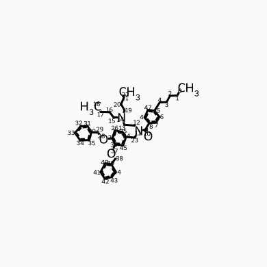 CCCCCc1ccc(C(=O)N(CCN(CCCC)CCCC)Cc2ccc(OCc3ccccc3)c(OCc3ccccc3)c2)cc1